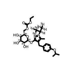 [2H]C([2H])([2H])C([2H])(n1nc(O[C@@H]2O[C@H](COC(=O)OCC)[C@@H](O)[C@H](O)[C@H]2O)c(Cc2ccc(OC(C)C)cc2)c1C)C([2H])([2H])[2H]